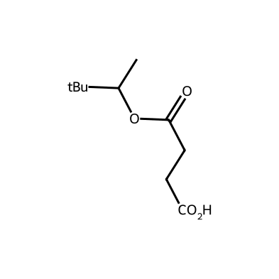 CC(OC(=O)CCC(=O)O)C(C)(C)C